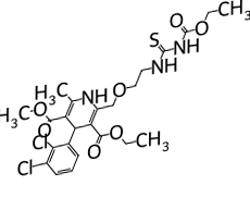 CCOC(=O)NC(=S)NCCOCC1=C(C(=O)OCC)C(c2cccc(Cl)c2Cl)C(C(=O)OC)=C(C)N1